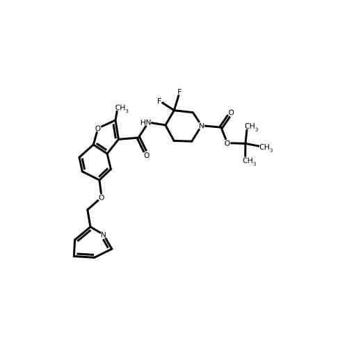 Cc1oc2ccc(OCc3ccccn3)cc2c1C(=O)NC1CCN(C(=O)OC(C)(C)C)CC1(F)F